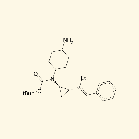 CC/C(=C\c1ccccc1)[C@@H]1C[C@H]1N(C(=O)OC(C)(C)C)C1CCC(N)CC1